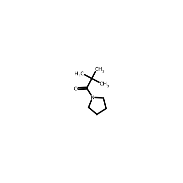 CC(C)(C)C(=O)N1C[CH]CC1